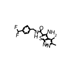 Cc1nnc2sc(C(=O)NCc3ccc(C(F)F)cc3)c(N)c2c1C